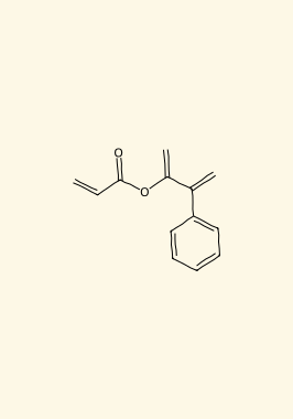 C=CC(=O)OC(=C)C(=C)c1ccccc1